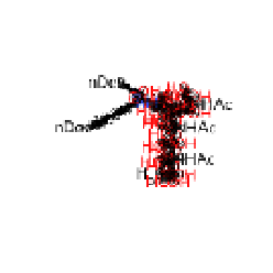 CCCCCCCCCCCCC/C=C/[C@@H](O)[C@H](CO[C@@H]1OC(CO)[C@@H](O[C@@H]2OC(CO)[C@H](O[C@@H]3OC(CO)[C@H](O)[C@H](O[C@@H]4OC(CO)[C@H](O)[C@H](O[C@@H]5OC(CO)[C@H](O)[C@H](O[C@H]6OC(C)[C@@H](O)C(O)[C@@H]6O)C5NC(C)=O)C4O)C3NC(C)=O)[C@H](O[C@]3(C(=O)O)CC(O)[C@@H](NC(C)=O)C([C@H](O)[C@H](O)CO)O3)C2O)[C@H](O)C1O)NC(=O)CCCCCCCCCCCCCCCCCCCCCCC